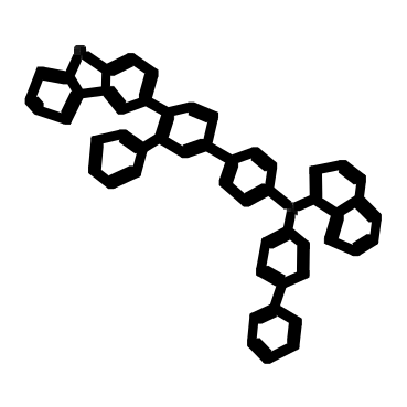 c1ccc(-c2ccc(N(c3ccc(-c4ccc(-c5ccc6oc7ccccc7c6c5)c(-c5ccccc5)c4)cc3)c3cccc4ccccc34)cc2)cc1